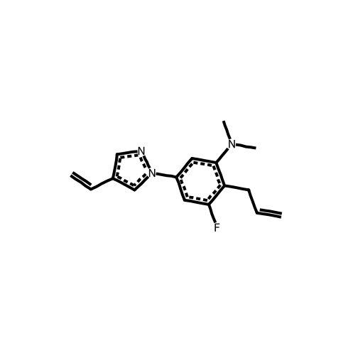 C=CCc1c(F)cc(-n2cc(C=C)cn2)cc1N(C)C